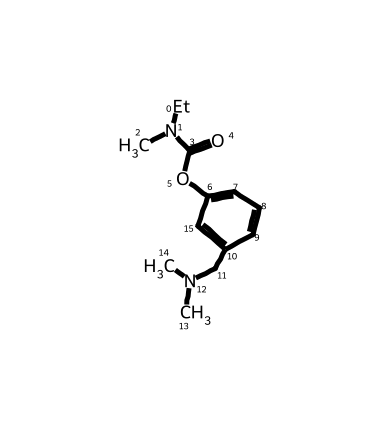 CCN(C)C(=O)Oc1cccc(CN(C)C)c1